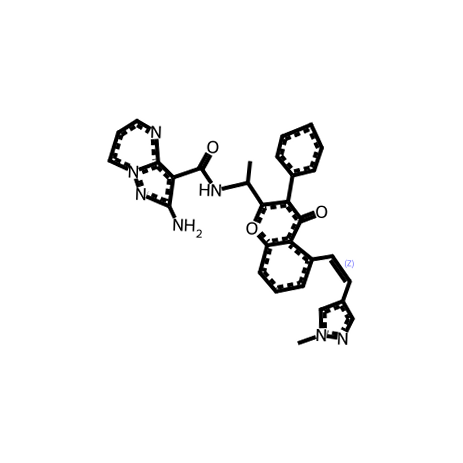 CC(NC(=O)c1c(N)nn2cccnc12)c1oc2cccc(/C=C\c3cnn(C)c3)c2c(=O)c1-c1ccccc1